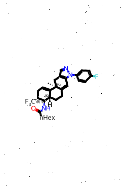 CCCCCCC(=O)N[C@H]1[C@H](C(F)(F)F)CC=C2[C@@H]1CCC1=Cc3c(cnn3-c3ccc(F)cc3)C[C@@]12C